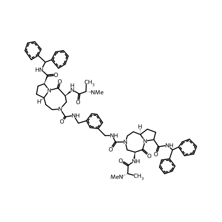 CN[C@@H](C)C(=O)N[C@H]1CN(C(=O)NCc2cccc(CNC(=O)N3CC[C@H]4CC[C@@H](C(=O)NC(c5ccccc5)c5ccccc5)N4C(=O)[C@@H](NC(=O)[C@H](C)NC)C3)c2)CC[C@H]2CCC(C(=O)NC(c3ccccc3)c3ccccc3)N2C1=O